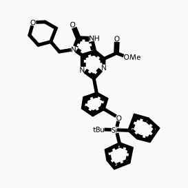 COC(=O)c1nc(-c2cccc(O[Si](c3ccccc3)(c3ccccc3)C(C)(C)C)c2)nc2c1[nH]c(=O)n2CC1CCOCC1